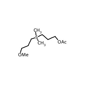 COCCCS(C)(C)CCCOC(C)=O